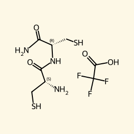 NC(=O)[C@H](CS)NC(=O)[C@H](N)CS.O=C(O)C(F)(F)F